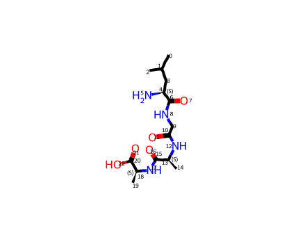 CC(C)C[C@H](N)C(=O)NCC(=O)N[C@@H](C)C(=O)N[C@@H](C)C(=O)O